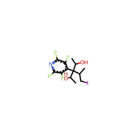 CC(O)C(c1c(F)c(F)nc(F)c1F)(C(C)O)C(C)CI